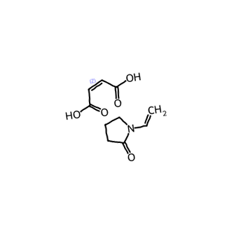 C=CN1CCCC1=O.O=C(O)/C=C\C(=O)O